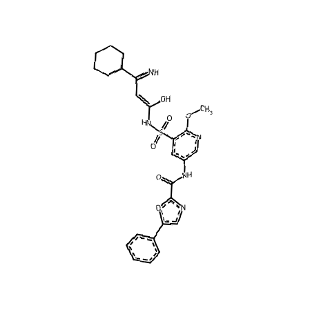 COc1ncc(NC(=O)c2ncc(-c3ccccc3)o2)cc1S(=O)(=O)N/C(O)=C/C(=N)C1CCCCC1